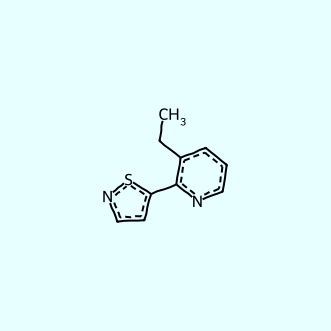 CCc1cccnc1-c1ccns1